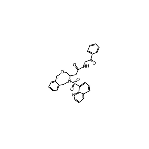 O=C(CC1COCc2ccccc2CN1S(=O)(=O)c1cccc2cccnc12)NCC(=O)c1ccccc1